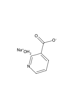 O.O=C([O-])c1cccnc1.[Na+]